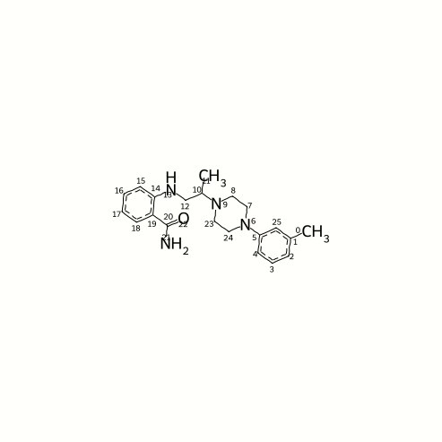 Cc1cccc(N2CCN(C(C)CNc3ccccc3C(N)=O)CC2)c1